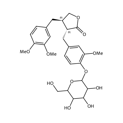 COc1ccc(C[C@H]2COC(=O)[C@@H]2Cc2ccc(OC3OC(CO)C(O)C(O)C3O)c(OC)c2)cc1OC